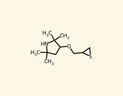 CC1(C)CC(OCC2CS2)C(C)(C)N1